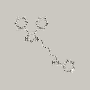 c1ccc(NCCCCCn2cnc(-c3ccccc3)c2-c2ccccc2)cc1